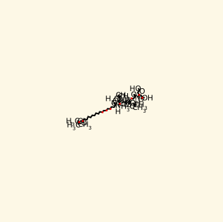 CC(C)(C)OC(=O)CCCCCCCCCCCCCCCCC(=O)N[C@@H](CCC(=O)N[C@@H](CCC(=O)NC(CC(=O)O)CC(=O)O)C(=O)OC(C)(C)C)C(=O)OC(C)(C)C